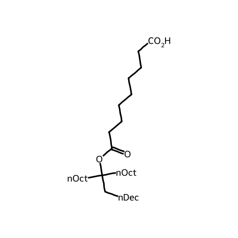 CCCCCCCCCCCC(CCCCCCCC)(CCCCCCCC)OC(=O)CCCCCCCC(=O)O